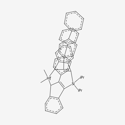 CC(C)[Si]1(C(C)C)C2=C(c3ccc(-c4ccccc4)cc3)[CH](c3ccccc32)[Hf]([CH3])([CH3])[CH]2C(c3ccc(-c4ccccc4)cc3)=C1c1ccccc12